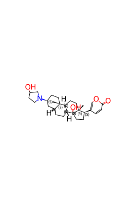 C[C@]12CC[C@H](N3CCC(O)C3)C[C@H]1CC[C@@H]1[C@@H]2CC[C@]2(C)[C@@H](c3ccc(=O)oc3)CC[C@]12O